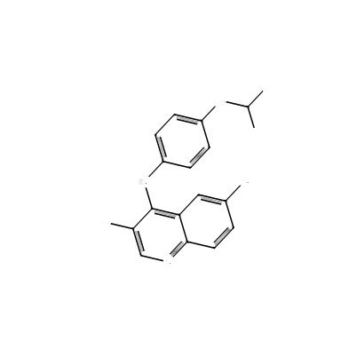 CCOC(=O)c1cnc2ccc(Br)cc2c1Nc1ccc(OC(F)F)cc1